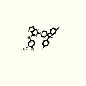 CN1C[C@@H](Nc2nc(N3CCC(C(=O)c4ccc(F)cc4)(c4ccc(F)cc4)CC3)nc3c2OCC3)CCC1=O